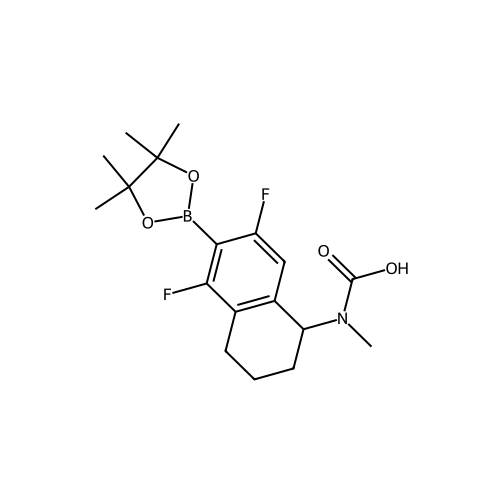 CN(C(=O)O)C1CCCc2c1cc(F)c(B1OC(C)(C)C(C)(C)O1)c2F